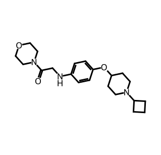 O=C(CNc1ccc(OC2CCN(C3CCC3)CC2)cc1)N1CCOCC1